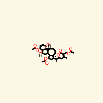 CC(=O)OCC1=C(C)CC([C@@H](C)C2C[C@@H](OC(C)=O)C3C4C[C@H]5O[C@]56[C@H](OC(C)=O)C=CC(=O)[C@]65C4[C@H]5CCC[C@]23C)OC1=O